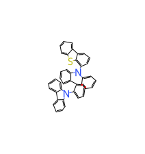 c1ccc(N(c2ccccc2-c2ccccc2-n2c3ccccc3c3ccccc32)c2cccc3c2sc2ccccc23)cc1